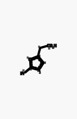 CC(C)c1ncc(CC(=O)O)o1